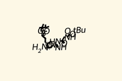 CC(C)(C)OC(=O)NCC(=O)NC(=N)N1C[C@H](CCCB2OC(C)(C)C(C)(C)O2)[C@@](C)(N)C1